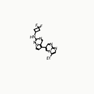 CCc1cnc2ncc(-c3ccn4nc(NC5CC(F)(F)C5)ncc34)cn12